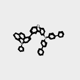 c1ccc(-c2ccc(N(c3ccc(-c4ccccc4)cc3)c3ccc4oc5ccc(-c6ccc7c8c6ccc6cccc(c68)n7-c6ccccc6)cc5c4c3)cc2)cc1